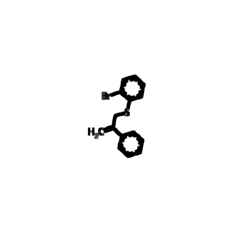 C=C(CSc1ccccc1Br)c1ccccc1